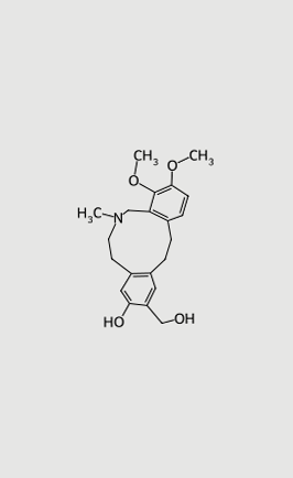 COc1ccc2c(c1OC)CN(C)CCc1cc(O)c(CO)cc1CC2